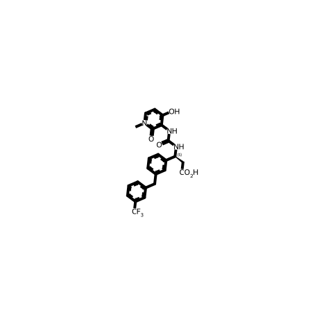 Cn1ccc(O)c(NC(=O)N[C@@H](CC(=O)O)c2cccc(Cc3cccc(C(F)(F)F)c3)c2)c1=O